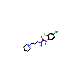 O=C(NCCCN1CCCCC1)Nc1ccc(Br)cc1F